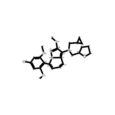 COc1cc(Cl)cc(OC)c1-c1cccc2c(N(CC3CC3)CC3CCCO3)c(SC)nn12